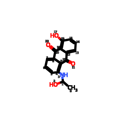 CC(O)Nc1cccc2c1C(=O)c1cccc(O)c1C2=O